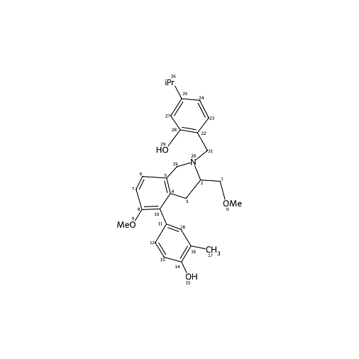 COCC1Cc2c(ccc(OC)c2-c2ccc(O)c(C)c2)CN1Cc1ccc(C(C)C)cc1O